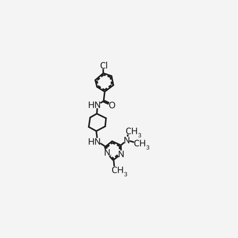 Cc1nc(NC2CCC(NC(=O)c3ccc(Cl)cc3)CC2)cc(N(C)C)n1